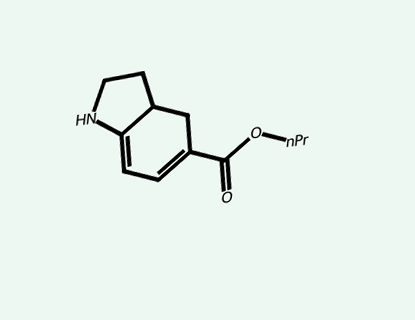 CCCOC(=O)C1=CC=C2NCCC2C1